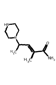 C/C(=C\C(C)N1CCNCC1)C(N)=O